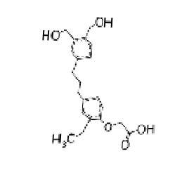 CCc1cc(CCCc2ccc(CO)c(CO)c2)ccc1OCC(=O)O